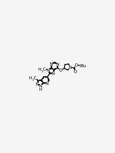 Cc1n[nH]c2ncc(-c3nc4c(OC5CCN(C(=O)OC(C)(C)C)C5)ncnc4n3C)cc12